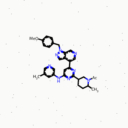 COc1ccc(Cn2ncc3c(-c4cc(Nc5cncc(C)c5)nc(C5CCC(C)N(C(C)=O)C5)n4)cncc32)cc1